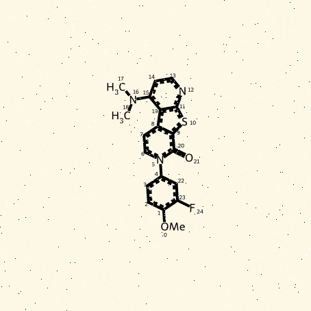 COc1ccc(-n2ccc3c(sc4nccc(N(C)C)c43)c2=O)cc1F